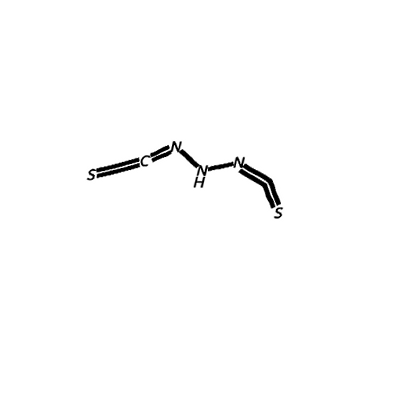 S=C=NNN=C=S